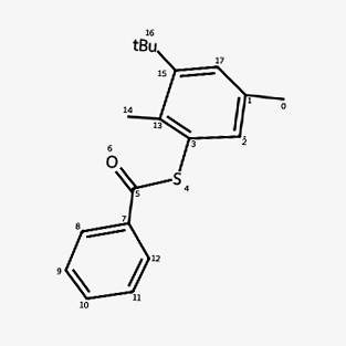 Cc1[c]c(SC(=O)c2ccccc2)c(C)c(C(C)(C)C)c1